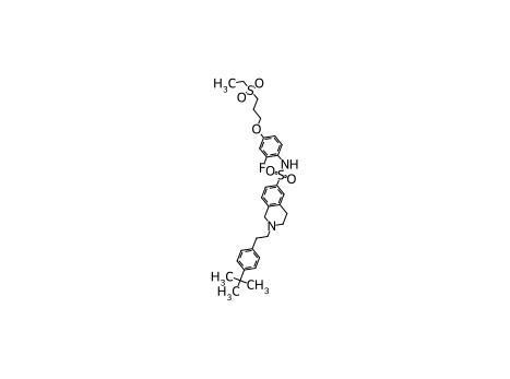 CCS(=O)(=O)CCCOc1ccc(NS(=O)(=O)c2ccc3c(c2)CCN(CCc2ccc(C(C)(C)C)cc2)C3)c(F)c1